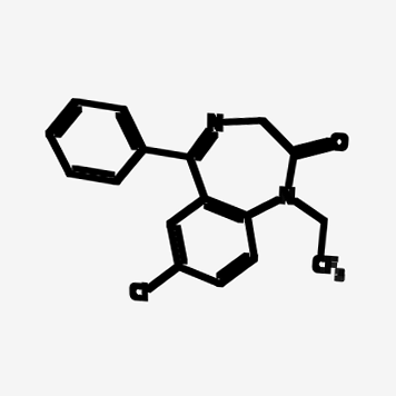 O=C1CN=C(c2ccccc2)c2cc(Cl)ccc2N1CC(F)(F)F